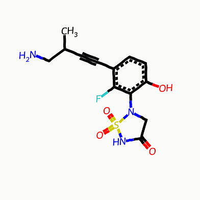 CC(C#Cc1ccc(O)c(N2CC(=O)NS2(=O)=O)c1F)CN